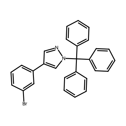 Brc1cccc(-c2cnn(C(c3ccccc3)(c3ccccc3)c3ccccc3)c2)c1